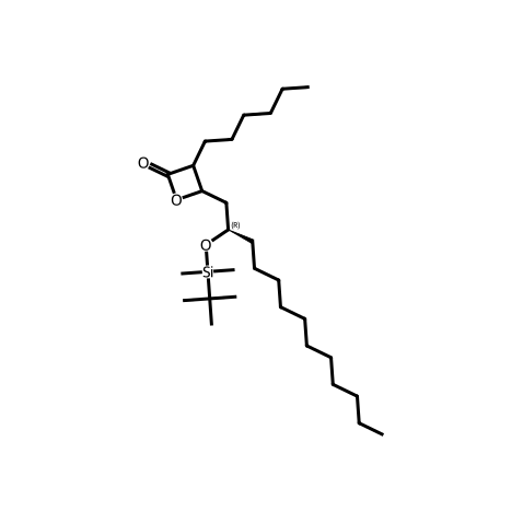 CCCCCCCCCCC[C@H](CC1OC(=O)C1CCCCCC)O[Si](C)(C)C(C)(C)C